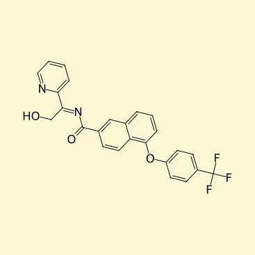 O=C(/N=C(\CO)c1ccccn1)c1ccc2c(Oc3ccc(C(F)(F)F)cc3)cccc2c1